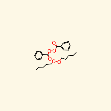 CCCCCOOCCCCC.O=C(OOC(=O)c1ccccc1)c1ccccc1